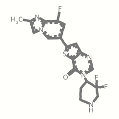 Cc1cn2cc(-c3cc4ncn(C5CCNCC5(F)F)c(=O)c4s3)cc(F)c2n1